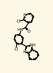 O=C(Nc1ccc(Cl)c(-c2nc3ccccc3[nH]2)c1)c1cccnc1Cl